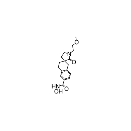 COCCN1CC[C@@]2(CCc3cc(C(=O)NO)ccc3C2)C1=O